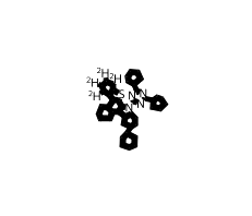 [2H]c1c([2H])c([2H])c2c(sc3c2c2ccccc2c2c4cc(-c5ccccc5)ccc4n(-c4nc(-c5ccccc5)nc(-c5ccccc5)n4)c32)c1[2H]